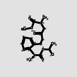 CC(Cl)OC(=O)N(C)c1ncccc1CCC(=O)CN(C)C(=O)OC(C)(C)C